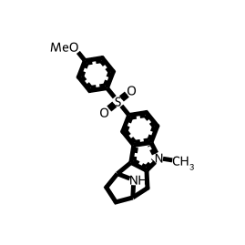 COc1ccc(S(=O)(=O)c2ccc3c(c2)c2c(n3C)CC3CCC2N3)cc1